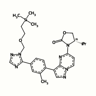 Cc1cc(-c2ncnn2COCC[Si](C)(C)C)ccc1-c1cnn2ccc(N3C(=O)OC[C@@H]3C(C)C)nc12